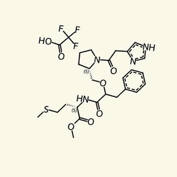 COC(=O)[C@H](CCSC)NC(=O)C(Cc1ccccc1)OC[C@@H]1CCCN1C(=O)Cc1c[nH]cn1.O=C(O)C(F)(F)F